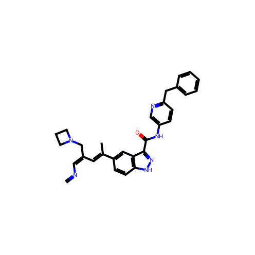 C=N/C=C(\C=C(/C)c1ccc2[nH]nc(C(=O)Nc3ccc(Cc4ccccc4)nc3)c2c1)CN1CCC1